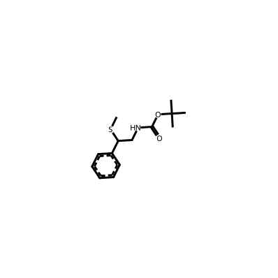 CSC(CNC(=O)OC(C)(C)C)c1ccccc1